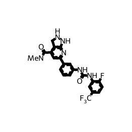 CNC(=O)c1cc(-c2cccc(NC(=O)Nc3cc(C(F)(F)F)ccc3F)c2)nc2c1CNN2